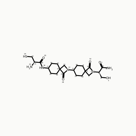 NC(=O)[C@@H](CO)N1CC2(CCC(N3CC4(CCC(NC(=O)[C@@H](N)CS)CC4)C3=O)CC2)C1=O